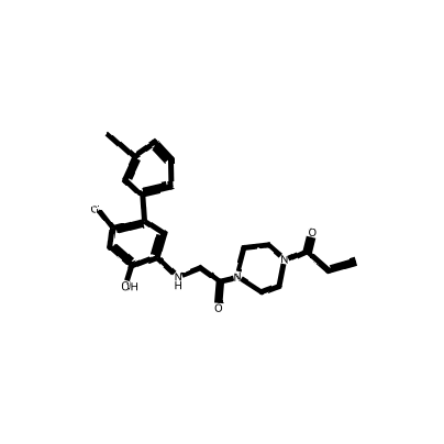 C=CC(=O)N1CCN(C(=O)CNc2cc(-c3cccc(C)c3)c(Cl)cc2O)CC1